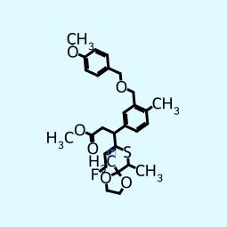 COC(=O)CC(/C(=C/CF)SC(C)C1(C)OCCO1)c1ccc(C)c(COCc2ccc(OC)cc2)c1